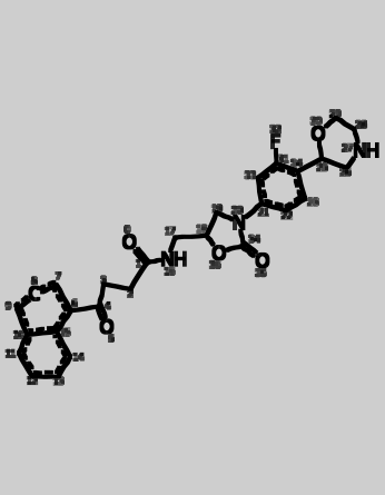 O=C(CCC(=O)c1cccc2ccccc12)NCC1CN(c2ccc(C3CNCCO3)c(F)c2)C(=O)O1